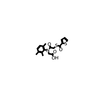 Cc1ccc(C)c(N(CC(=O)O)C(=O)CSC(=O)c2cccs2)c1C